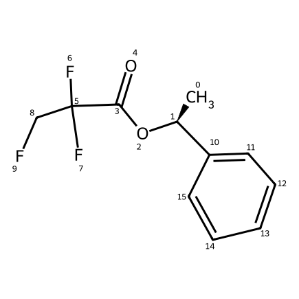 C[C@H](OC(=O)C(F)(F)CF)c1ccccc1